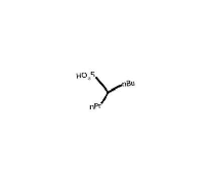 [CH2]CCC(CCCC)S(=O)(=O)O